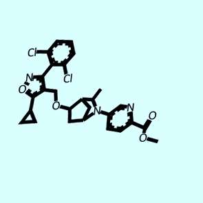 COC(=O)c1ccc(N2C3CC(OCc4c(-c5c(Cl)cccc5Cl)noc4C4CC4)C(C3)C2C)cn1